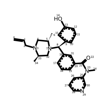 C=CCN1C[C@H](C)N([C@@H](c2cccc(O)c2)c2cccc(C(=O)N(C)c3cccnc3)c2)C[C@H]1C